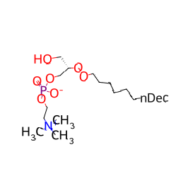 CCCCCCCCCCCCCCCCOO[C@@H](CO)COP(=O)([O-])OCC[N+](C)(C)C